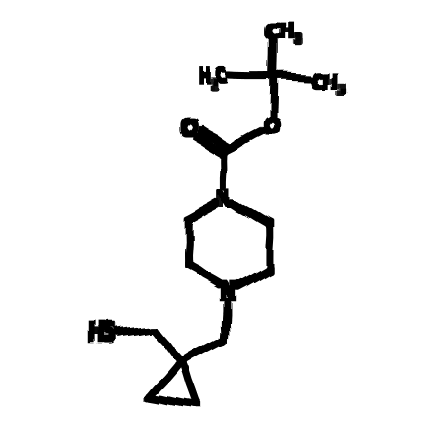 CC(C)(C)OC(=O)N1CCN(CC2(CS)CC2)CC1